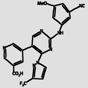 [C-]#[N+]c1cc(Nc2ncc(-c3cncc(C(=O)O)c3)c(-n3ccc(C(F)(F)F)n3)n2)cc(OC)c1